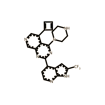 FC(F)(F)c1cc2c(-c3nc(N4CCNCC4)c4c(C5=CC=C5)cncc4n3)ccnc2[nH]1